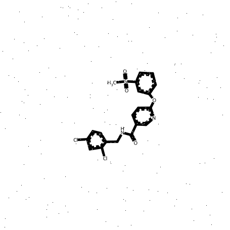 CS(=O)(=O)c1cccc(Oc2ccc(C(=O)NCc3ccc(Cl)cc3Cl)cn2)c1